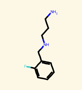 NCCCNCc1ccccc1F